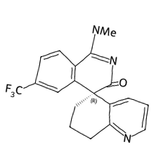 CNC1=NC(=O)[C@]2(CCCc3ncccc32)c2cc(C(F)(F)F)ccc21